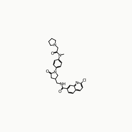 CN(C(=O)CN1CCCC1)c1ccc(N2CC(CNC(=O)c3ccc4ccc(Cl)nc4c3)CC2=O)cc1